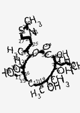 C=CC[C@@]1(C)C(O)[C@H](C)[C@@H](O)[C@@H](C)CCC[C@@]2(CO)O[C@H]2C[C@@H](/C(C)=C/c2csc(C)n2)OC(=O)C[C@@H]1O